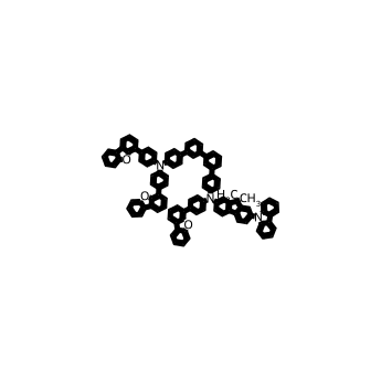 CC1(C)c2cc(N(c3ccc(-c4cccc(-c5cccc(-c6ccc(N(c7ccc(-c8cccc9c8oc8ccccc89)cc7)c7ccc(-c8cccc9c8oc8ccccc89)cc7)cc6)c5)c4)cc3)c3ccc(-c4cccc5c4oc4ccccc45)cc3)ccc2-c2ccc(-n3c4ccccc4c4ccccc43)cc21